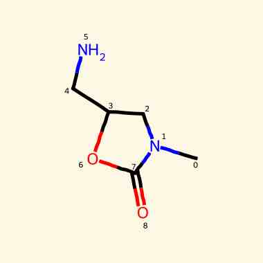 CN1CC(CN)OC1=O